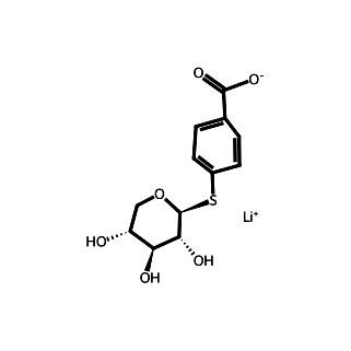 O=C([O-])c1ccc(S[C@@H]2OC[C@@H](O)[C@H](O)[C@H]2O)cc1.[Li+]